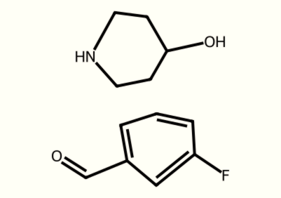 O=Cc1cccc(F)c1.OC1CCNCC1